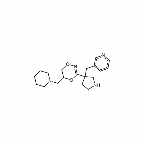 c1cncc(CC2(C3=NOCC(CN4CCCCC4)O3)CCNC2)c1